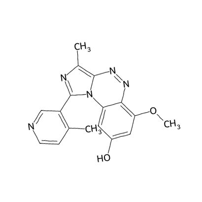 COc1cc(O)cc2c1nnc1c(C)nc(-c3cnccc3C)n12